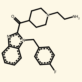 NCCN1CCC(C(=O)c2nc3ccccc3n2Cc2ccc(F)cc2)CC1